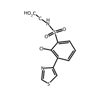 O=C(O)CNS(=O)(=O)c1cccc(-c2cscn2)c1Cl